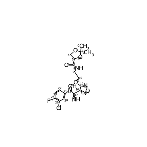 CC1(C)OCC(C(=O)NCCOc2nonc2C(=N)N(O)c2ccc(F)c(Cl)c2)O1